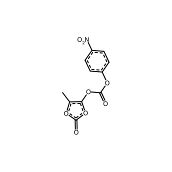 Cc1oc(=O)oc1OC(=O)Oc1ccc([N+](=O)[O-])cc1